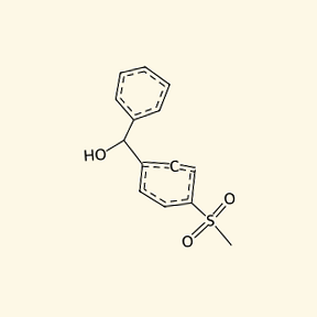 CS(=O)(=O)c1ccc(C(O)c2ccccc2)cc1